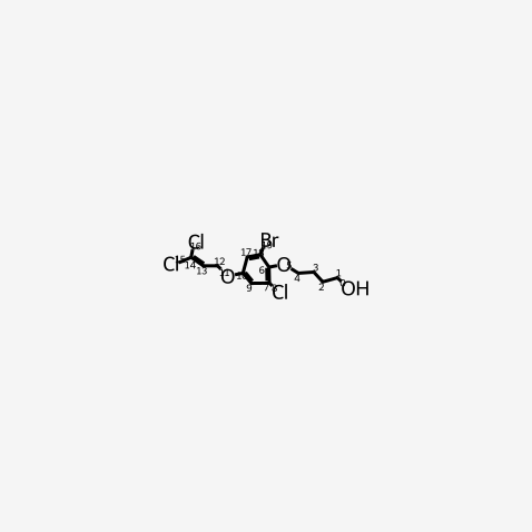 OCCCCOc1c(Cl)cc(OCC=C(Cl)Cl)cc1Br